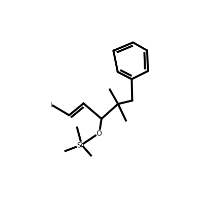 CC(C)(Cc1ccccc1)C(C=CI)O[Si](C)(C)C